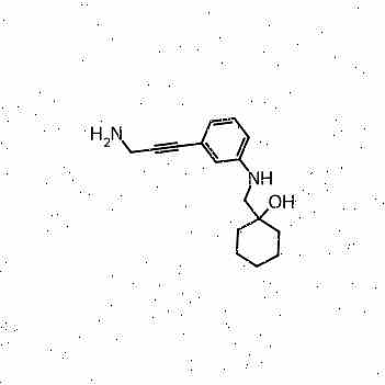 NCC#Cc1cccc(NCC2(O)CCCCC2)c1